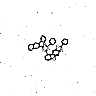 c1ccc(-c2nc(-c3cc4ccccc4cc3-c3ccccc3)nc(-c3cccc4oc5cc6nc(-c7ccccc7)oc6cc5c34)n2)cc1